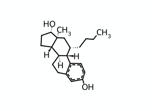 CCCC[C@H]1C[C@]2(C)[C@@H](O)CC[C@H]2[C@@H]2CCc3cc(O)ccc3[C@@H]12